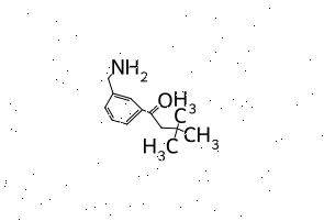 CC(C)(C)CC(=O)c1cccc(CN)c1